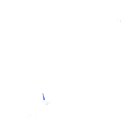 CC(C)Cc1ccc(-c2cc3c(cc2F)[C@@H](NC(=O)O)C(C)(C)CC3)cc1